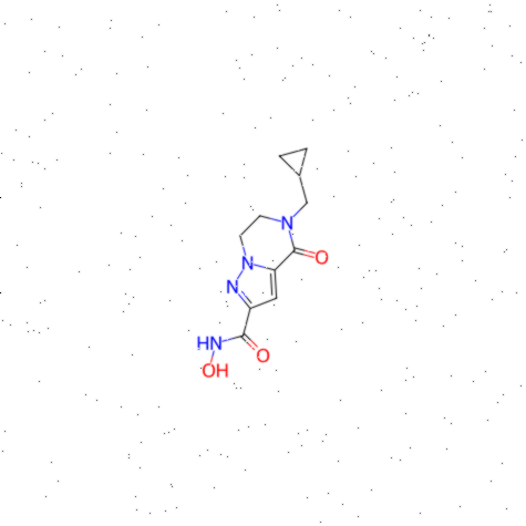 O=C(NO)c1cc2n(n1)CCN(CC1CC1)C2=O